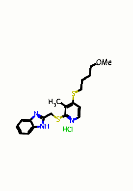 COCCCCSc1ccnc(SCc2nc3ccccc3[nH]2)c1C.Cl